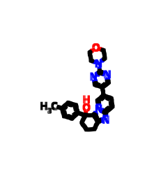 Cc1ccc(C2(O)CCCc3nc4ccc(-c5cnc(N6CCOCC6)nc5)cn4c32)cc1